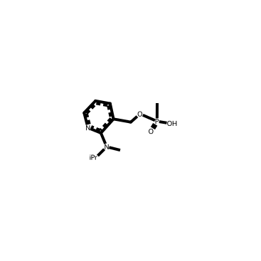 CC(C)N(C)c1ncccc1COP(C)(=O)O